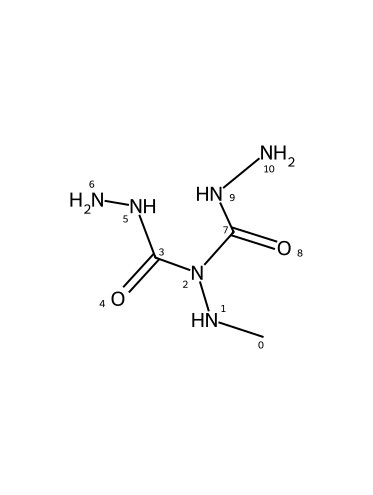 CNN(C(=O)NN)C(=O)NN